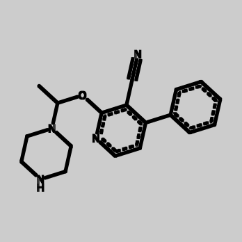 CC(Oc1nccc(-c2ccccc2)c1C#N)N1CCNCC1